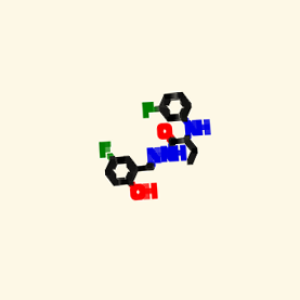 CCC(Nc1cccc(F)c1)C(=O)NN=Cc1cc(F)ccc1O